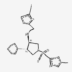 Cc1cnc(CN[C@H]2CN(S(=O)(=O)c3cn(C)cn3)C[C@@H]2c2ccccc2)s1